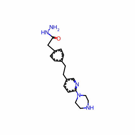 NNC(=O)Cc1ccc(CCc2ccc(N3CCNCC3)nc2)cc1